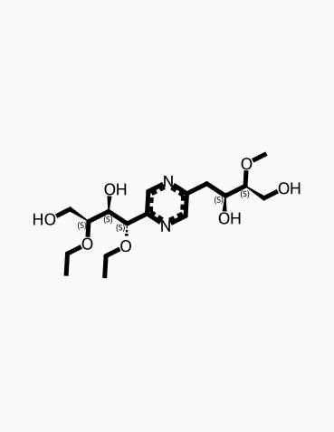 CCO[C@@H](CO)[C@@H](O)[C@@H](OCC)c1cnc(C[C@H](O)[C@H](CO)OC)cn1